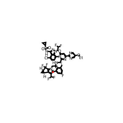 CCOc1cnc(-c2cc(=O)n(-c3ccc(Cl)c4c(NS(=O)(=O)C5CC5)nn(CC(F)F)c34)c([C@H](Cc3cc(F)cc(F)c3)NC(=O)Cn3nc(C(F)F)c4c3C(F)(F)[C@@H]3C[C@H]43)n2)nc1